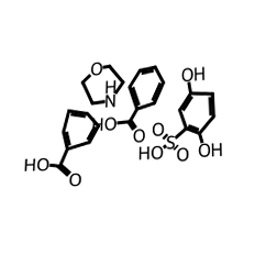 C1COCCN1.O=C(O)c1ccccc1.O=C(O)c1ccccc1.O=S(=O)(O)c1cc(O)ccc1O